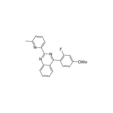 COc1ccc(-c2nc(-c3cccc(C)n3)nc3ccccc23)c(F)c1